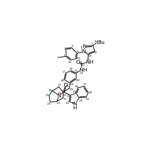 Cc1ccc(-n2nc(C(C)(C)C)cc2NC(=O)Nc2cccc(CC3CC4CCC(C3)N4C(=O)c3c[nH]c4ccccc34)c2)cc1